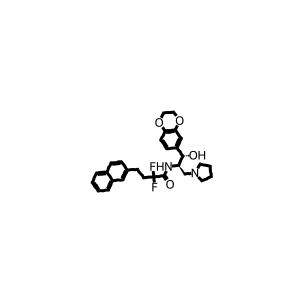 O=C(N[C@H](CN1CCCC1)[C@@H](O)c1ccc2c(c1)OCCO2)C(F)(F)CCc1ccc2ccccc2c1